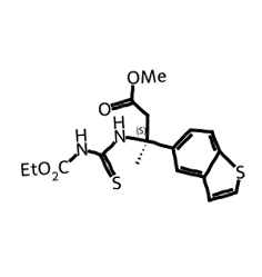 CCOC(=O)NC(=S)N[C@@](C)(CC(=O)OC)c1ccc2sccc2c1